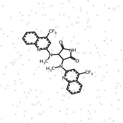 CN(c1cc(C(F)(F)F)c2ccccc2n1)C1C(=O)NC(=O)C1N(C)c1cc(C(F)(F)F)c2ccccc2n1